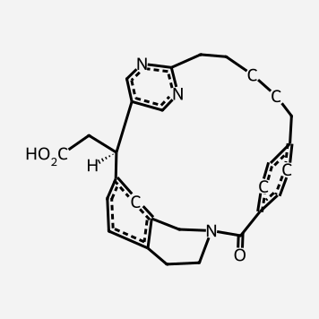 O=C(O)C[C@H]1c2cnc(nc2)CCCCCc2ccc(cc2)C(=O)N2CCc3ccc1cc3C2